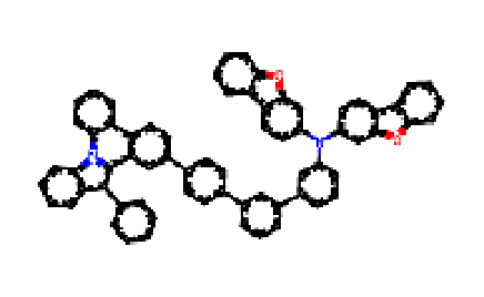 c1ccc(-c2c3ccccc3n3c4ccccc4c4ccc(-c5ccc(-c6cccc(-c7cccc(N(c8ccc9c(c8)oc8ccccc89)c8ccc9c(c8)oc8ccccc89)c7)c6)cc5)cc4c23)cc1